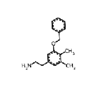 Cc1cc(CCN)cc(OCc2ccccc2)c1C